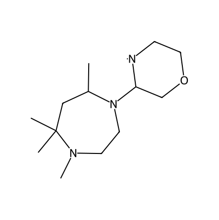 CC1CC(C)(C)N(C)CCN1C1COCC[N]1